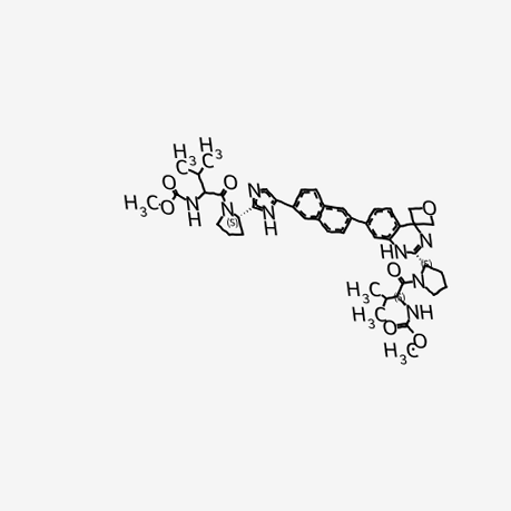 COC(=O)NC(C(=O)N1CCC[C@H]1c1ncc(-c2ccc3cc(-c4ccc5c(c4)NC([C@@H]4CCCN4C(=O)[C@@H](NC(=O)OC)C(C)C)=NC54COC4)ccc3c2)[nH]1)C(C)C